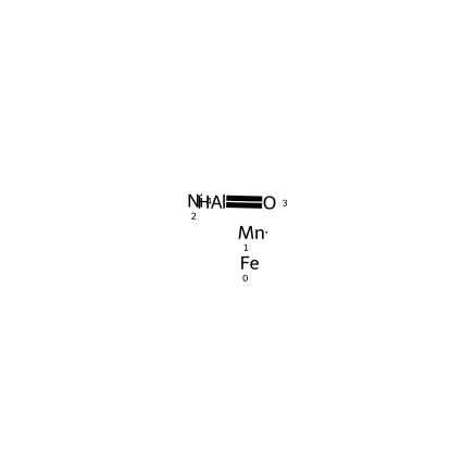 [Fe].[Mn].[Ni].[O]=[AlH]